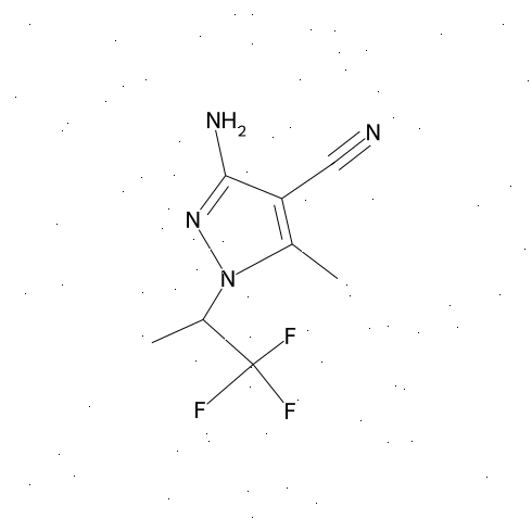 Cc1c(C#N)c(N)nn1C(C)C(F)(F)F